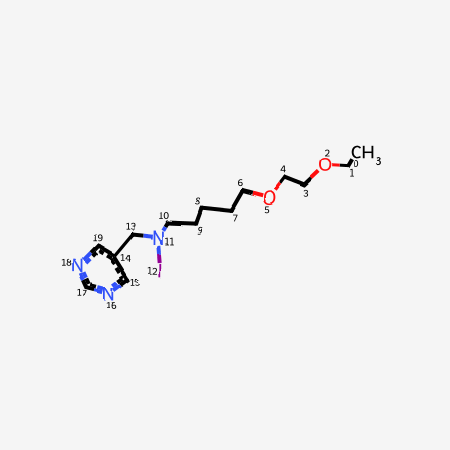 CCOCCOCCCCCN(I)Cc1cncnc1